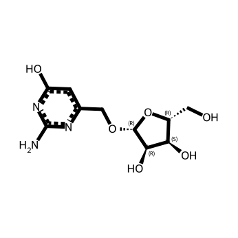 Nc1nc(O)cc(CO[C@@H]2O[C@H](CO)[C@@H](O)[C@H]2O)n1